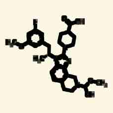 COc1cc(F)cc(C[C@@H](C)n2c(N3CCC(C(=O)O)CC3)nc3c4c(ccc32)CCN(C(O)OC)C4)c1